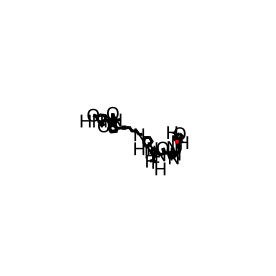 Cn1c(=O)n(C2CCC(=O)NC2=O)c2cccc(C#CCCCNC[C@H]3CC[C@H](n4cc(NC(=O)c5cnn6ccc(N7C[C@H]8C[C@@H]7CO8)nc56)c(C(F)F)n4)CC3)c21